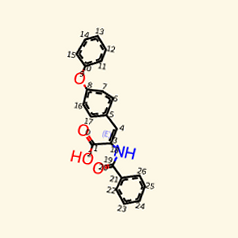 O=C(O)/C(=C\c1ccc(Oc2ccccc2)cc1)NC(=O)c1ccccc1